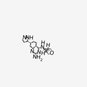 Nc1nc(N[C@H]2[C@@H]3COC[C@@H]32)c2ccc(-c3ccn[nH]3)cc2n1